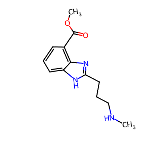 CNCCCc1nc2c(C(=O)OC)cccc2[nH]1